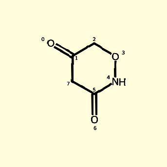 O=C1CONC(=O)C1